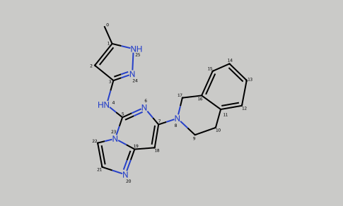 Cc1cc(Nc2nc(N3CCc4ccccc4C3)cc3nccn23)n[nH]1